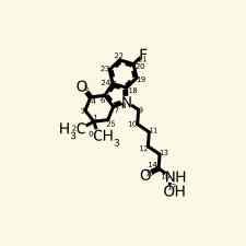 CC1(C)CC(=O)c2c(n(CCCCCC(=O)NO)c3cc(F)ccc23)C1